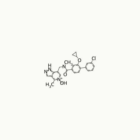 Cc1c2cn[nH]c2c(CN(C)C(=O)c2ccc(-c3cccc(Cl)c3)c(OC3CC3)c2)c[n+]1O